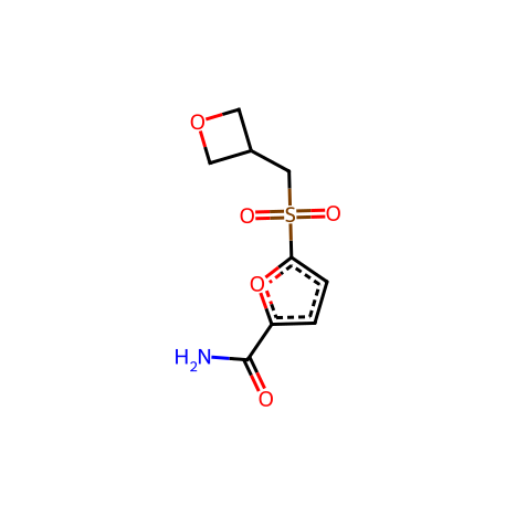 NC(=O)c1ccc(S(=O)(=O)CC2COC2)o1